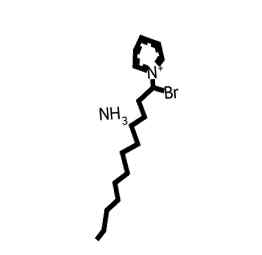 CCCCCCCCCCCC(Br)[n+]1ccccc1.N